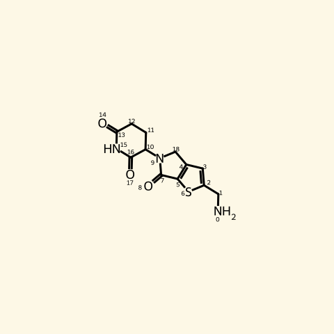 NCc1cc2c(s1)C(=O)N(C1CCC(=O)NC1=O)C2